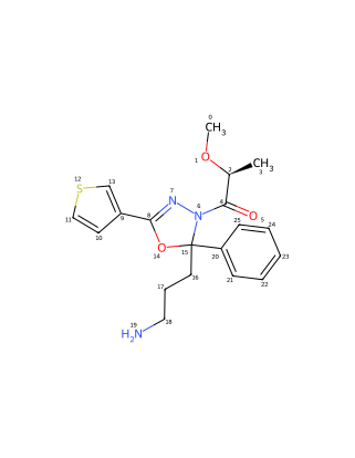 CO[C@@H](C)C(=O)N1N=C(c2ccsc2)OC1(CCCN)c1ccccc1